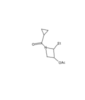 CCC1C(OC(C)=O)CN1C(=O)C1CC1